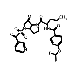 CCCC(NC(=O)c1ccc(OC(F)F)cc1)C(=O)N1CCC2C1C(=O)CN2S(=O)(=O)C(=O)c1cccnc1